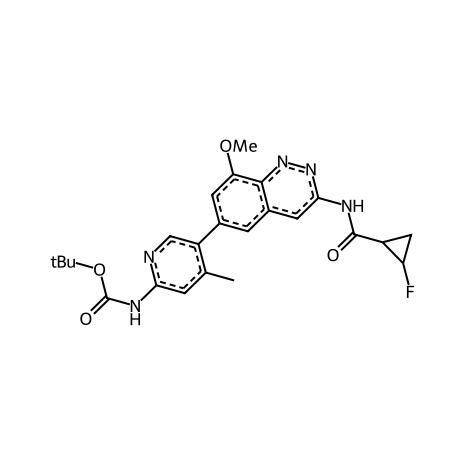 COc1cc(-c2cnc(NC(=O)OC(C)(C)C)cc2C)cc2cc(NC(=O)C3CC3F)nnc12